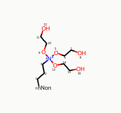 CCCCCCCCCCCC[N+](OCCO)(OCCO)OCCO